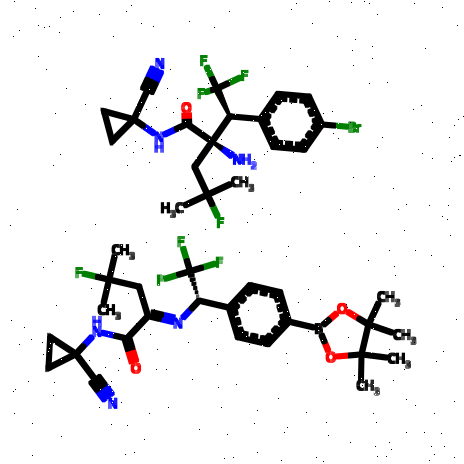 CC(C)(F)CC(=N[C@@H](c1ccc(B2OC(C)(C)C(C)(C)O2)cc1)C(F)(F)F)C(=O)NC1(C#N)CC1.CC(C)(F)C[C@](N)(C(=O)NC1(C#N)CC1)[C@H](c1ccc(Br)cc1)C(F)(F)F